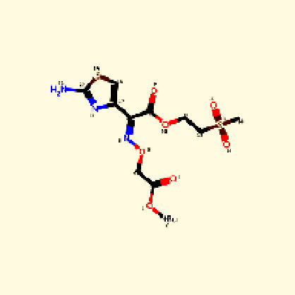 CC(C)(C)OC(=O)CO/N=C(\C(=O)OCCS(C)(=O)=O)c1csc(N)n1